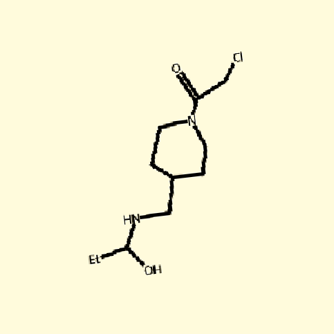 CCC(O)NCC1CCN(C(=O)CCl)CC1